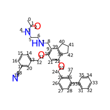 CC(=O)N(C)CCNCc1c(OCc2cccc(C#N)c2)cc(OCc2cccc(-c3ccccc3)c2C)c2c1CCC2